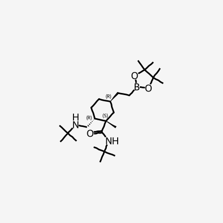 CC(C)(C)NC[C@@H]1CC[C@@H](CCB2OC(C)(C)C(C)(C)O2)C[C@]1(C)C(=O)NC(C)(C)C